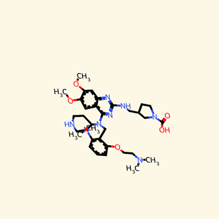 COc1cc2nc(NCC3CCN(C(=O)O)C3)nc(N(Cc3c(OCCN(C)C)cccc3N(C)C)C3CCNCC3)c2cc1OC